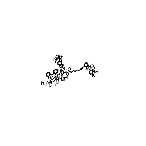 Cn1c(C(=O)N[C@H]2CN(C(=O)CCCCCC#Cc3cccc4c3CN(C3CCC(=O)NC3=O)C4=O)CC[C@H]3CC[C@@H](C(=O)NC(COC(N)=O)C(=O)NC(c4ccccc4)c4ccccc4)N3C2=O)cc2cc(C(F)(F)P(=O)(O)O)ccc21